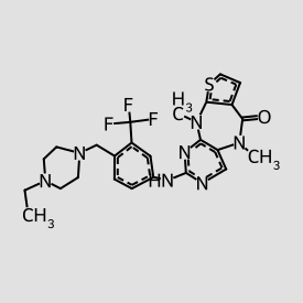 CCN1CCN(Cc2ccc(Nc3ncc4c(n3)N(C)c3sccc3C(=O)N4C)cc2C(F)(F)F)CC1